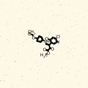 COCOc1ccc(N/C=C(/C(=O)C(=O)OC)c2cc(F)c(Cl)cc2Cl)cc1